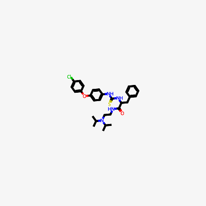 CC(C)N(CCNC(=O)C(Cc1ccccc1)NC(=S)Nc1ccc(Oc2ccc(Cl)cc2)cc1)C(C)C